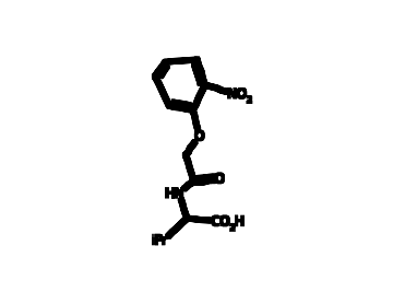 CC(C)C(NC(=O)COc1ccccc1[N+](=O)[O-])C(=O)O